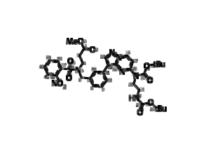 COC(=O)CCN(Cc1cccc(-c2cnn3ccc(N(CCNC(=O)OC(C)(C)C)C(=O)OC(C)(C)C)nc23)c1)S(=O)(=O)c1ccccc1[N+](=O)[O-]